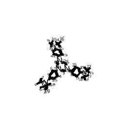 CC(C)N(c1ccc(N2CN(c3ccc(N(C(C)(C)C)C(C)(C)C)cc3)CN(c3ccc(N(C(C)(C)C)C(C)(C)C)cc3)C2)cc1)C(C)(C)C